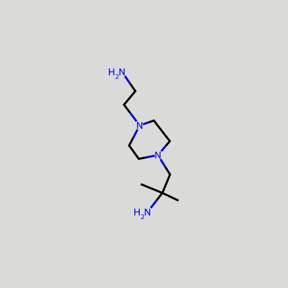 CC(C)(N)CN1CCN(CCN)CC1